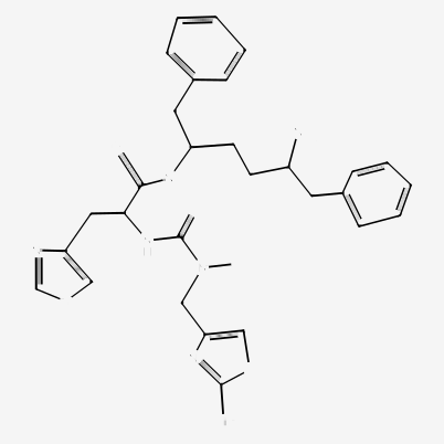 CC(C)c1nc(CN(C)C(=O)NC(Cc2cscn2)C(=O)NC(CCC(N)Cc2ccccc2)Cc2ccccc2)cs1